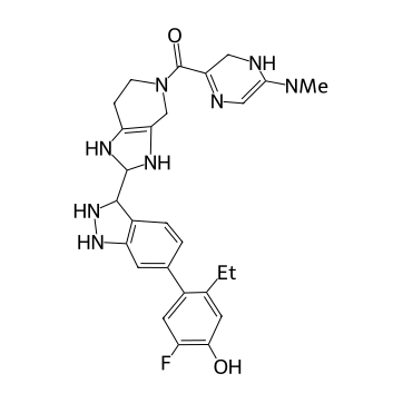 CCc1cc(O)c(F)cc1-c1ccc2c(c1)NNC2C1NC2=C(CN(C(=O)C3=NC=C(NC)NC3)CC2)N1